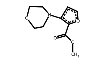 COC(=O)c1occc1N1CCOCC1